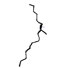 CCCCC/C=C(/C)CCCCCCCC